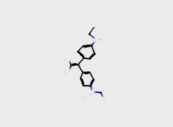 CC(C)CN(C)c1ccc(C(=C(C#N)C#N)c2ccc(N(C)CC(C)C)cc2)cc1